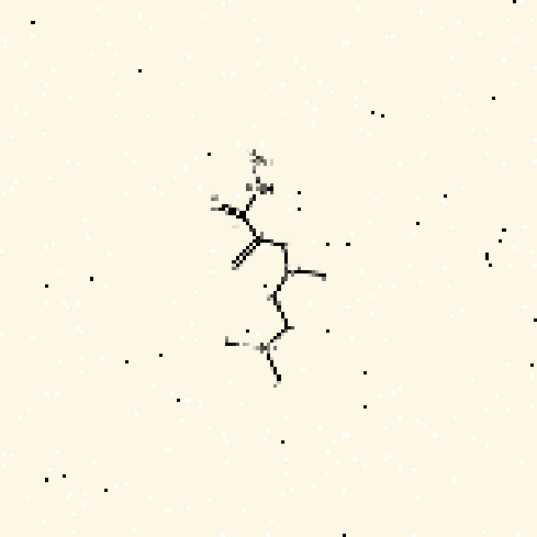 C=C(CN(C)CCN(C)C)C(=O)NC(C)(C)C